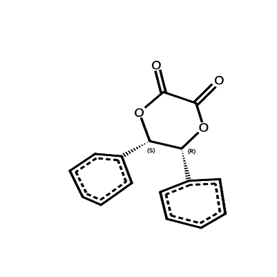 O=C1O[C@H](c2ccccc2)[C@H](c2ccccc2)OC1=O